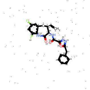 C=C[C@@H]1Cc2cc(F)cc(F)c2NC(=O)[C@@H]1NC(=O)c1nnc(Cc2ccccc2)o1